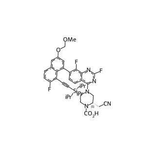 COCOc1cc(-c2ccc3c(N4CCN(C(=O)O)[C@@H](CC#N)C4)nc(F)nc3c2F)c2c(C#C[Si](C(C)C)(C(C)C)C(C)C)c(F)ccc2c1